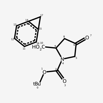 CC(C)(C)OC(=O)N1CC(=O)CC1C(=O)O.c1ccc2c(c1)C2